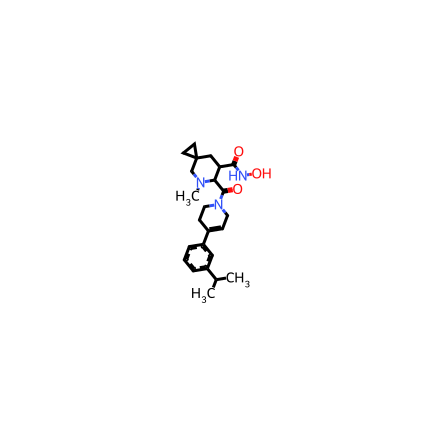 CC(C)c1cccc(C2=CCN(C(=O)C3C(C(=O)NO)CC4(CC4)CN3C)CC2)c1